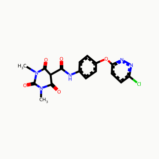 CN1C(=O)C(C(=O)Nc2ccc(Oc3ccc(Cl)nn3)cc2)C(=O)N(C)C1=O